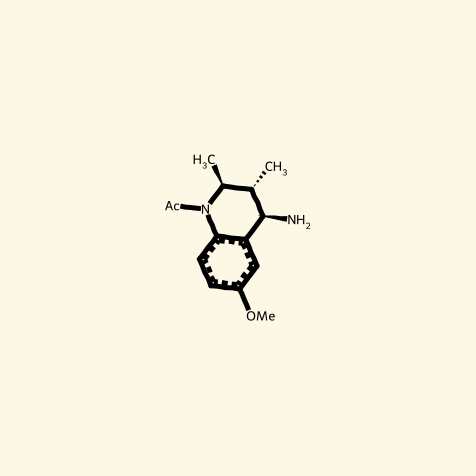 COc1ccc2c(c1)[C@H](N)[C@@H](C)[C@H](C)N2C(C)=O